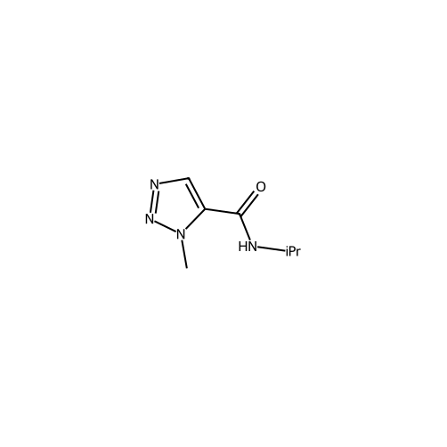 CC(C)NC(=O)c1cnnn1C